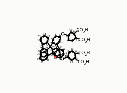 O=C(O)c1ccc(Oc2ccc(C3(c4ccc(Oc5ccc(C(=O)O)c(C(=O)O)c5)cc4-c4ccccc4)c4ccccc4-c4ccccc43)c(-c3ccccc3)c2)cc1C(=O)O